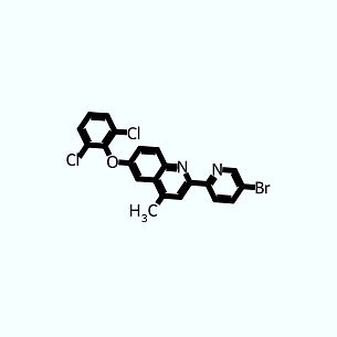 Cc1cc(-c2ccc(Br)cn2)nc2ccc(Oc3c(Cl)cccc3Cl)cc12